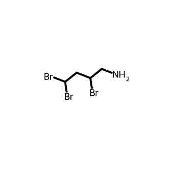 NCC(Br)CC(Br)Br